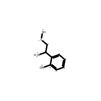 NC(CSS)c1ccccc1N=O